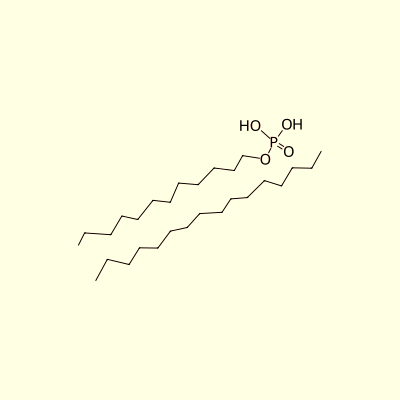 CCCCCCCCCCCCCCCC.CCCCCCCCCCCCOP(=O)(O)O